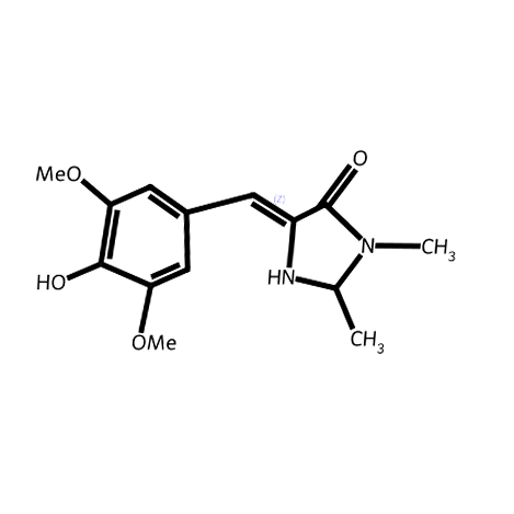 COc1cc(/C=C2\NC(C)N(C)C2=O)cc(OC)c1O